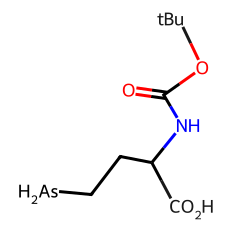 CC(C)(C)OC(=O)NC(CC[AsH2])C(=O)O